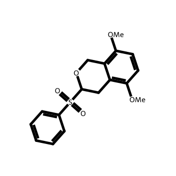 COc1ccc(OC)c2c1COC(S(=O)(=O)c1ccccc1)C2